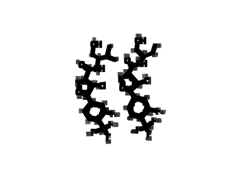 CC(C)[C@H](CO)NC(=O)c1noc(-c2ccc(C(F)(F)F)c(F)c2)c1Cl.CC[C@H](CO)NC(=O)c1noc(-c2ccc(C(F)(F)F)c(F)c2)c1Cl